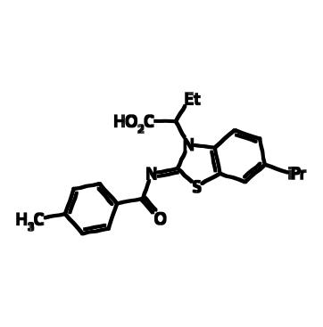 CCC(C(=O)O)n1c(=NC(=O)c2ccc(C)cc2)sc2cc(C(C)C)ccc21